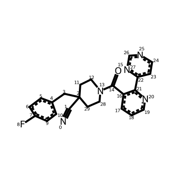 N#CC1(Cc2ccc(F)cc2)CCN(C(=O)c2cccnc2-c2ccncn2)CC1